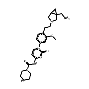 COc1cc(-n2ccc(NC(=O)N3CCNCC3)nc2=O)ccc1CCN1CC2CC2(CN)C1